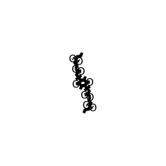 CCCS(=O)(=O)CCOC(=O)CC(C)(C)C1=C(C)C(=O)C(C(C)(C)CC(=O)OCCS(=O)(=O)CCC)=C(C)C1=O